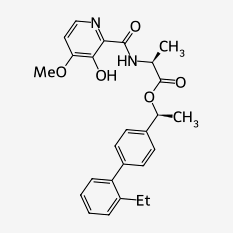 CCc1ccccc1-c1ccc([C@H](C)OC(=O)[C@H](C)NC(=O)c2nccc(OC)c2O)cc1